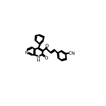 N#Cc1cccc(/C=C/C(=O)c2c(-c3ccccc3)c3ccncc3[nH]c2=O)c1